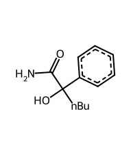 CCCCC(O)(C(N)=O)c1ccccc1